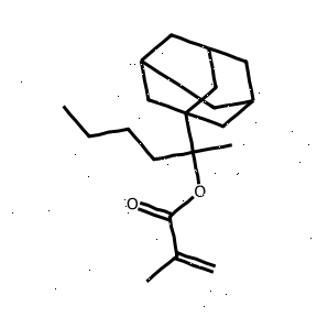 C=C(C)C(=O)OC(C)(CCCC)C12CC3CC(CC(C3)C1)C2